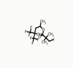 CC(CC(O)(C(F)(F)F)C(F)(F)F)OC(=O)C(C)(C)CI